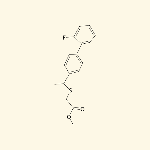 COC(=O)CSC(C)c1ccc(-c2ccccc2F)cc1